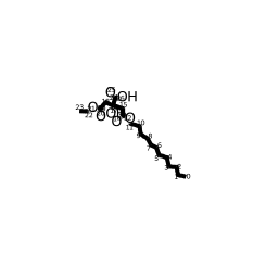 CCCCCCCCCCCCOC(=O)CC(O)(CC(=O)OCC)C(=O)O